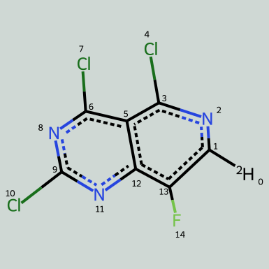 [2H]c1nc(Cl)c2c(Cl)nc(Cl)nc2c1F